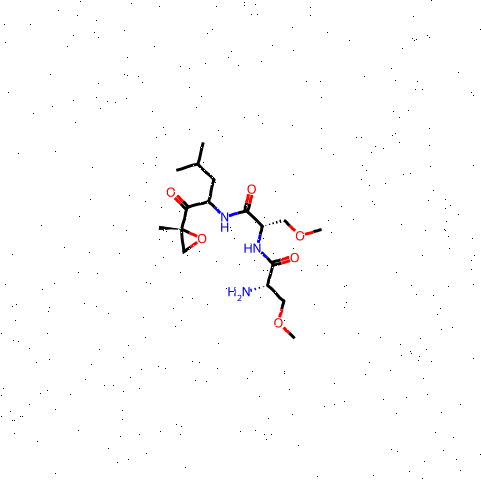 COC[C@H](NC(=O)[C@@H](N)COC)C(=O)NC(CC(C)C)C(=O)[C@@]1(C)CO1